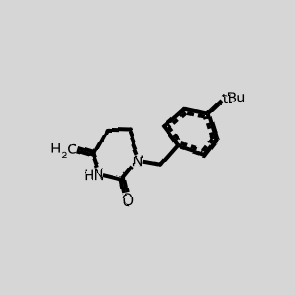 C=C1CCN(Cc2ccc(C(C)(C)C)cc2)C(=O)N1